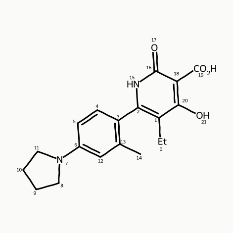 CCc1c(-c2ccc(N3CCCC3)cc2C)[nH]c(=O)c(C(=O)O)c1O